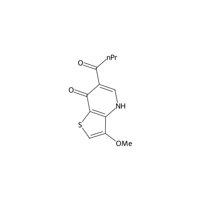 CCCC(=O)c1c[nH]c2c(OC)csc2c1=O